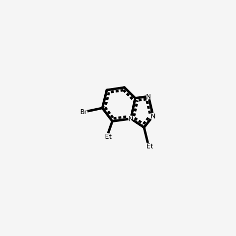 CCc1nnc2ccc(Br)c(CC)n12